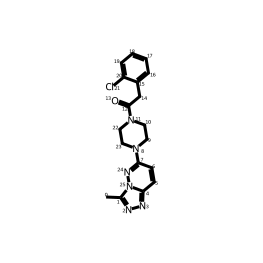 Cc1nnc2ccc(N3CCN(C(=O)Cc4ccccc4Cl)CC3)nn12